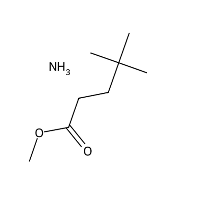 COC(=O)CCC(C)(C)C.N